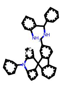 Nc1ccccc1C(NCc1ccc2c(c1)C1(c3ccccc3-2)c2ccccc2N(c2ccccc2)c2ccccc21)c1ccccc1